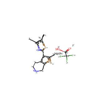 CC(=O)Nc1sc2c(c1-c1nc(C)c(C)s1)CCNC2.O=C(O)C(F)(F)F